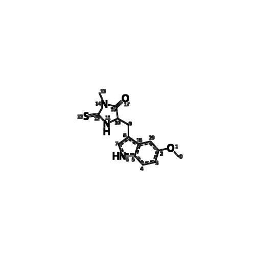 COc1ccc2[nH]cc(CC3NC(=S)N(C)C3=O)c2c1